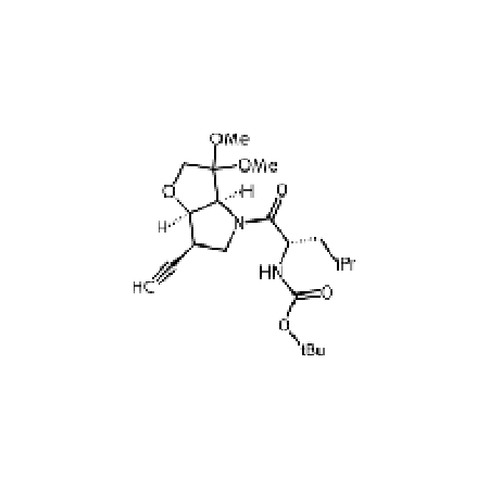 C#C[C@@H]1CN(C(=O)[C@H](CC(C)C)NC(=O)OC(C)(C)C)[C@H]2[C@@H]1OCC2(OC)OC